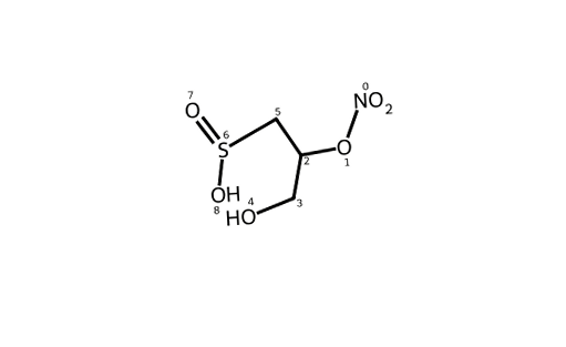 O=[N+]([O-])OC(CO)CS(=O)O